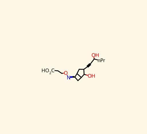 CCCC(O)C#CC1CC2C(=NOCCC(=O)O)CC2C1O